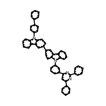 c1ccc(-c2ccc(-n3c4ccccc4c4cc(-c5ccc6c(c5)c5ccccc5n6-c5cccc(-c6cc(-c7ccccc7)nc(-c7ccccc7)n6)c5)ccc43)cc2)cc1